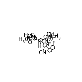 C[C@H](Oc1nc2c(F)c(-c3cccc4ccc(F)cc34)c(CCC#N)cc2c2[nH]c(-c3cc(C(=O)N(C)C)n(C)n3)cc12)[C@@H]1CCCN1C